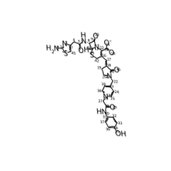 Nc1nc(CC(=O)N[C@@H]2C(=O)N3C(C(=O)[O-])=C(C=C4CCN(Cc5cc[n+](CC(=O)Nc6ccc(O)cc6)cc5)C4=O)CS[C@H]23)cs1